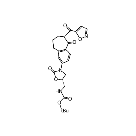 CC(C)(C)OC(=O)NC[C@H]1CN(c2ccc3c(c2)CCC[C@@H](C(=O)c2ccno2)C3=O)C(=O)O1